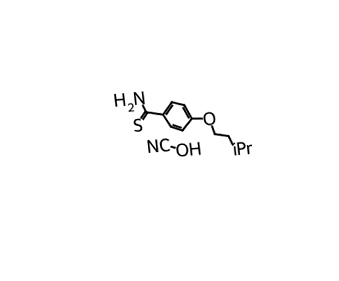 CC(C)CCOc1ccc(C(N)=S)cc1.N#CO